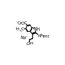 CCCCCc1[nH]c2cc(C(=O)[O-])c(C)cc2c1CCO.[Na+]